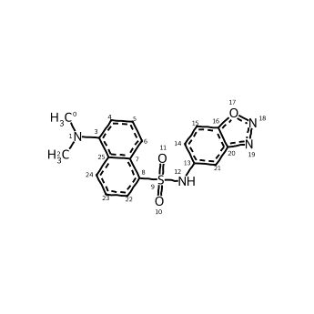 CN(C)c1cccc2c(S(=O)(=O)Nc3ccc4onnc4c3)cccc12